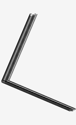 [Ca+2].[Ca+2].[Ca+2].[Ca+2].[Ca+2].[Ca+2].[Ca+2].[Ca+2].[Ca+2].[Ca+2].[Ca+2].[Ca+2].[Ca+2].[Ca+2].[Ca+2].[Ca+2].[Ca+2].[Ca+2].[Ca+2].[Ca+2].[Ca+2].[Ca+2].[Ca+2].[Ca+2].[Ca+2].[Ca+2].[Ca+2].[Ca+2].[Ca+2].[Ca+2].[Ca+2].[Ca+2].[Ca+2].[Ca+2].[Ca+2].[Ca+2].[Ca+2].[Ca+2].[Ca+2].[Ca+2].[Ca+2].[Ca+2].[Ca+2].[Ca+2].[Ca+2].[Ca+2].[Ca+2].[Ca+2].[Ca+2].[Ca+2].[Ca+2].[Ca+2].[Ca+2].[Ca+2].[Ca+2].[Ca+2].[Ca+2].[Ca+2].[Ca+2].[Ca+2].[Ca+2].[Ca+2].[Ca+2].[Ca+2].[Ca+2].[Ca+2].[Ca+2].[Ca+2].[Ca+2].[Ca+2].[Ca+2].[Ca+2].[Ca+2].[Ca+2].[Ca+2].[Ca+2].[Ca+2].[Ca+2].[Ca+2].[Ca+2].[Ca+2].[Ca+2].[Ca+2].[Ca+2].[Ca+2].[Ca+2].[Ca+2].[Ca+2].[Ca+2].[Ca+2].[Ca+2].[Ca+2].[Ca+2].[Ca+2].[Ca+2].[Ca+2].[Ca+2].[Ca+2].[Ca+2].[Ca+2].[Ca+2].[Ca+2].[Ca+2].[Ca+2].[Ca+2].[Ca+2].[Ca+2].[Ca+2].[Ca+2].[Ca+2].[Ca+2].[Ca+2].[Ca+2].[Ca+2].[Ca+2].[Ca+2].[Ca+2].[Ca+2].[Ca+2].[Ca+2].[Ca+2].[Ca+2].[Ca+2].[Ca+2].[Ca+2].[Ca+2].[Ca+2].[Ca+2].[Ca+2].[Ca+2].[Ca+2].[Ca+2].[Ca+2].[Ca+2].[Ca+2].[Ca+2].[Ca+2].[Ca+2].[Ca+2].[Ca+2]